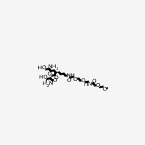 COCCOCC(=O)NCCOCCOCC(=O)NCCCC[C@H](CC(=O)[C@H](N)CO)C(=O)C[C@H](C(N)=O)[C@@H](C)O